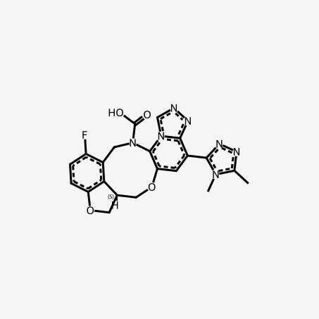 Cc1nnc(-c2cc3c(n4cnnc24)N(C(=O)O)Cc2c(F)ccc4c2[C@@H](CO4)CO3)n1C